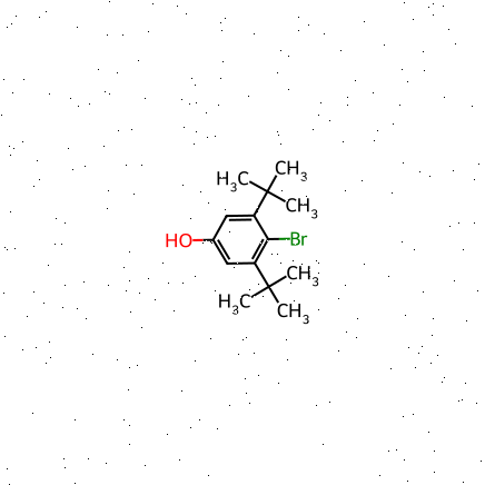 CC(C)(C)c1cc(O)cc(C(C)(C)C)c1Br